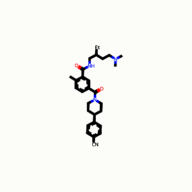 CCC(CCN(C)C)CNC(=O)c1cc(C(=O)N2CCC(c3ccc(C#N)cc3)CC2)ccc1C